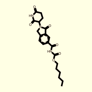 CCCCCCOC(=O)NC(=O)c1ccc2c(c1)C(=O)N(C1CCC(=O)NC1=O)C2